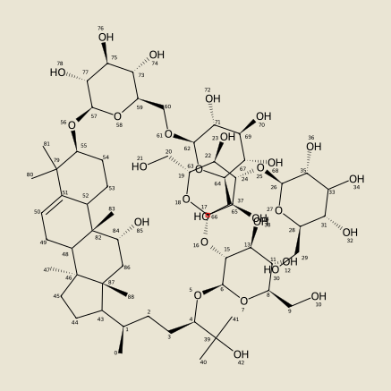 C[C@H](CC[C@@H](O[C@@H]1O[C@H](CO)[C@@H](O)[C@H](O)[C@H]1O[C@@H]1O[C@H](CO)[C@@H](O)[C@H](O[C@@H]2O[C@H](CO)[C@@H](O)C(O)[C@H]2O)[C@H]1O)C(C)(C)O)C1CC[C@@]2(C)C3CC=C4C(CC[C@H](O[C@@H]5O[C@H](CO[C@@H]6O[C@H](CO)[C@@H](O)[C@H](O)[C@H]6O)[C@@H](O)[C@H](O)[C@H]5O)C4(C)C)[C@]3(C)[C@H](O)C[C@]12C